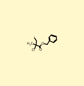 CC(Cl)(CI)C(=O)OCc1ccccc1